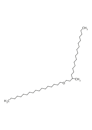 CCCCCCCCCCCCCCCCCCOCC[C](C)CCCCCCCCCCCCCCCC